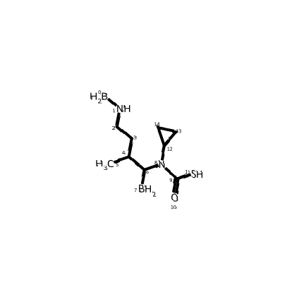 BNCCC(C)C(B)N(C(=O)S)C1CC1